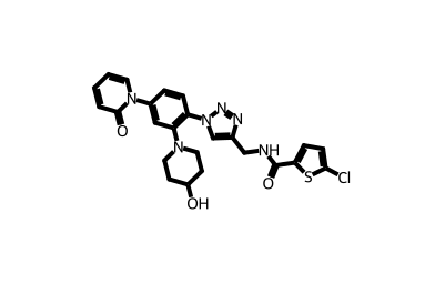 O=C(NCc1cn(-c2ccc(-n3ccccc3=O)cc2N2CCC(O)CC2)nn1)c1ccc(Cl)s1